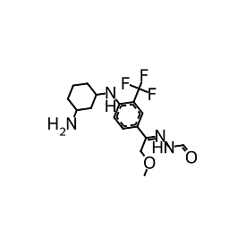 COC/C(=N\NC=O)c1ccc(NC2CCCC(N)C2)c(C(F)(F)F)c1